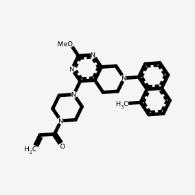 C=CC(=O)N1CCN(c2nc(OC)nc3c2CCN(c2cccc4cccc(C)c24)C3)CC1